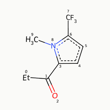 CCC(=O)c1ccc(C(F)(F)F)n1C